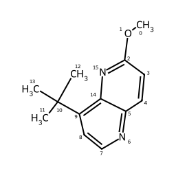 COc1ccc2nccc(C(C)(C)C)c2n1